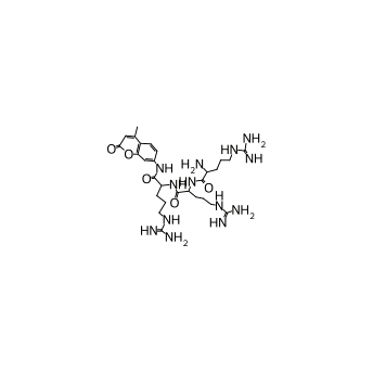 Cc1cc(=O)oc2cc(NC(=O)C(CCCNC(=N)N)NC(=O)C(CCCNC(=N)N)NC(=O)C(N)CCCNC(=N)N)ccc12